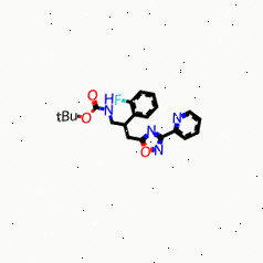 CC(C)(C)OC(=O)NCC(Cc1nc(-c2ccccn2)no1)c1ccccc1F